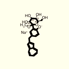 COC1(c2cc(Cc3cc4cccccc-4c3)ccc2[O-])O[C@H](CO)[C@@H](O)[C@H](O)[C@H]1O.[Na+]